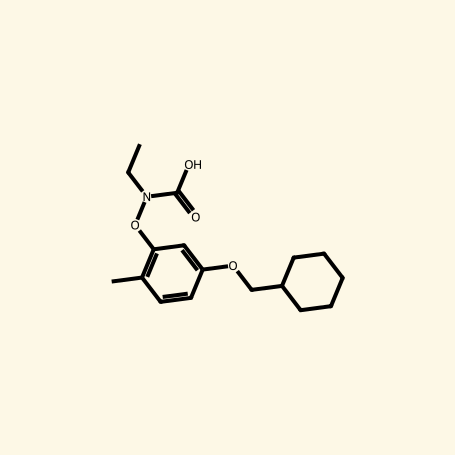 CCN(Oc1cc(OCC2CCCCC2)ccc1C)C(=O)O